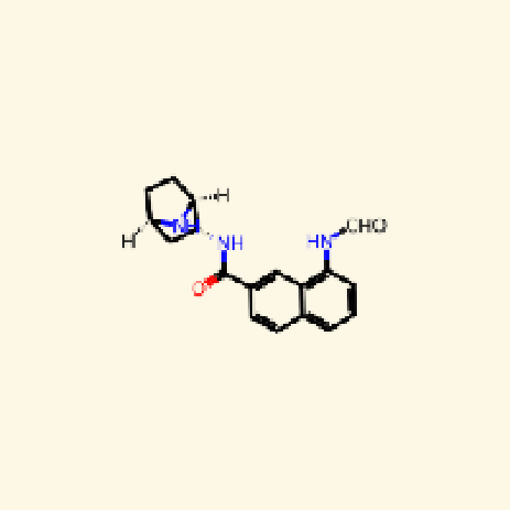 O=CNc1cccc2ccc(C(=O)N[C@@H]3C[C@H]4CC[C@@H]3N4)cc12